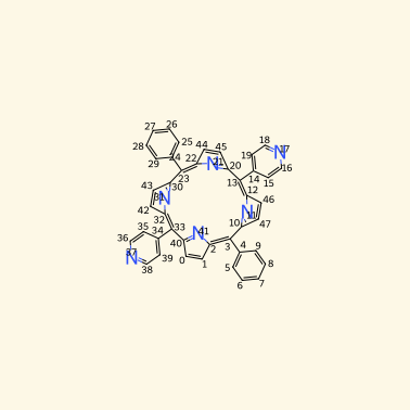 C1=CC2=C(c3ccccc3)C3=NC(=C(c4ccncc4)C4=NC(=C(c5ccccc5)C5=NC(=C(c6ccncc6)C1=N2)C=C5)C=C4)C=C3